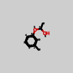 Cc1cccc(OC(C)O)c1